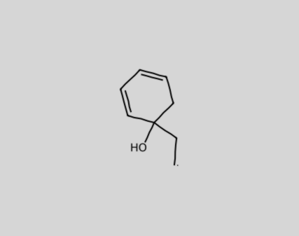 [CH2]CC1(O)C=CC=CC1